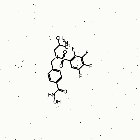 CC(C)CN(Cc1ccc(C(=O)NO)cc1)S(=O)(=O)c1cc(F)c(F)c(F)c1F